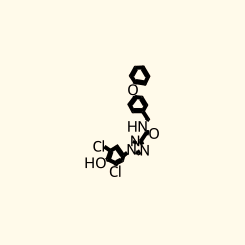 O=C(NCc1ccc(Oc2ccccc2)cc1)c1ncn(-c2cc(Cl)c(O)c(Cl)c2)n1